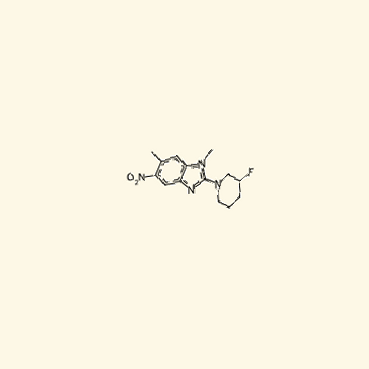 Cc1cc2c(cc1[N+](=O)[O-])nc(N1CCCC(F)C1)n2C